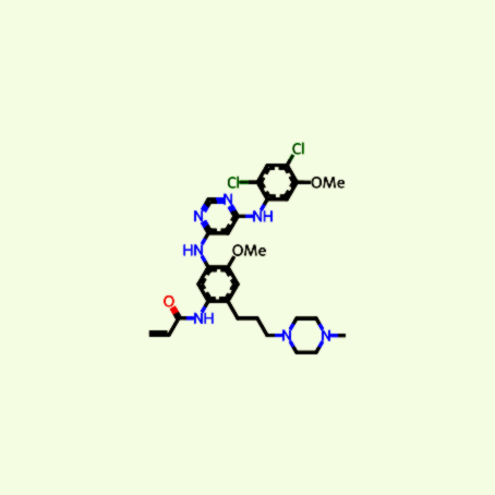 C=CC(=O)Nc1cc(Nc2cc(Nc3cc(OC)c(Cl)cc3Cl)ncn2)c(OC)cc1CCCN1CCN(C)CC1